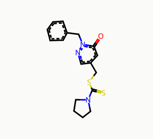 O=c1cc(CSC(=S)N2CCCC2)cnn1Cc1ccccc1